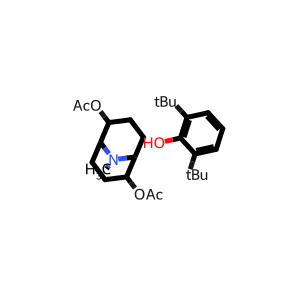 CC(=O)OC1CCC2C(OC(C)=O)CCC1N2C.CC(C)(C)c1cccc(C(C)(C)C)c1O